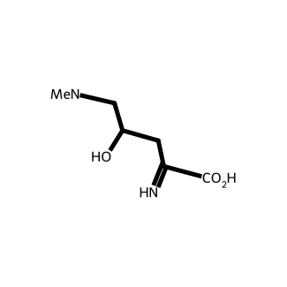 CNCC(O)CC(=N)C(=O)O